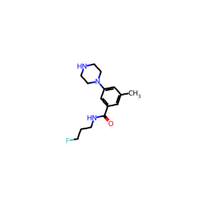 Cc1cc(C(=O)NCCCF)cc(N2CCNCC2)c1